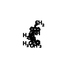 C=CCc1c2c(c(NC(=O)N=[S@](N)(=O)c3cc(C(C)(C)O)n(-c4ccccc4)n3)c3c1CCC3)CCC2